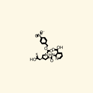 O=C(O)c1cccnc1NC(=O)[C@@H]1C[C@@H](CC(O)=S)CN1C(=O)OCc1ccc([N+](=O)[O-])cc1